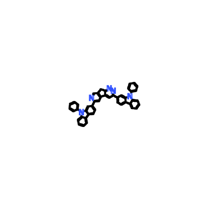 c1ccc(-n2c3ccccc3c3ccc(-c4cc5c(cn4)Cc4nnc(-c6ccc7c8ccccc8n(-c8ccccc8)c7c6)cc4-5)cc32)cc1